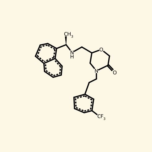 C[C@@H](NCC1CN(CCc2cccc(C(F)(F)F)c2)C(=O)CO1)c1cccc2ccccc12